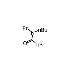 [CH2]CCC(=O)N(CC)CCCC